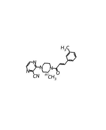 Cc1cccc(C=CC(=O)N2CCN(c3nccnc3C#N)C[C@H]2C)c1